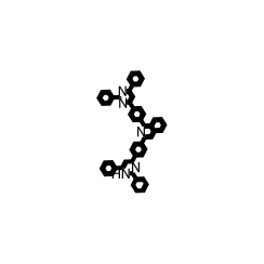 C1=CCCC(C2N=C(c3ccc(-c4cc5ccccc5c(-c5ccc(-c6cc(-c7ccccc7)nc(-c7ccccc7)n6)cc5)n4)cc3)C=C(c3ccccc3)N2)=C1